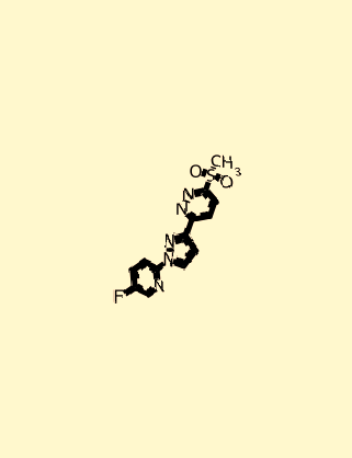 CS(=O)(=O)c1ccc(-c2ccn(-c3ccc(F)cn3)n2)nn1